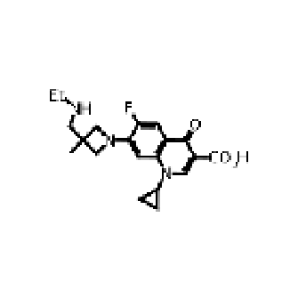 CCNCC1(C)CN(c2cc3c(cc2F)c(=O)c(C(=O)O)cn3C2CC2)C1